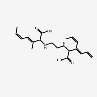 C=C/C=C(\C=C/C)C(NCCNC(C(=O)O)/C(C)=C/C=C\C)C(=O)O